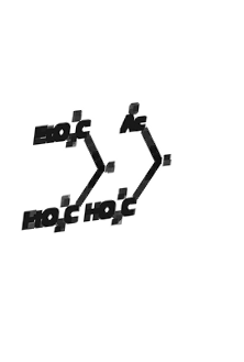 CC(=O)CC(=O)O.CCOC(=O)CC(=O)OCC